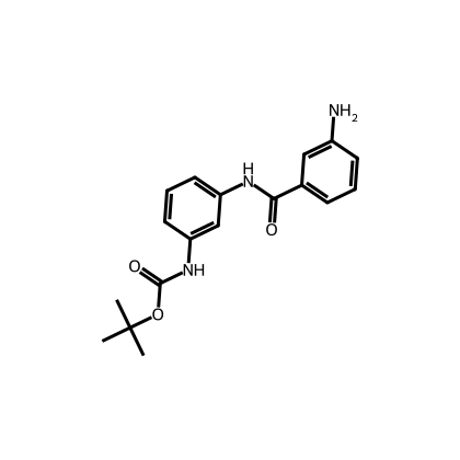 CC(C)(C)OC(=O)Nc1cccc(NC(=O)c2cccc(N)c2)c1